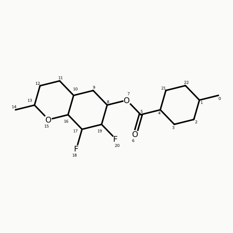 CC1CCC(C(=O)OC2CC3CCC(C)OC3C(F)C2F)CC1